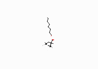 CCCCCCCCOC(=O)C(C)(CC(C)(C)C)C(C)(C)C